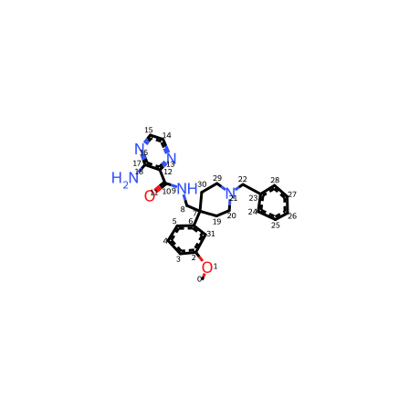 COc1cccc(C2(CNC(=O)c3nccnc3N)CCN(Cc3ccccc3)CC2)c1